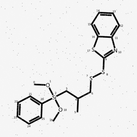 CO[Si](CC(C)CSSc1nc2ccccc2s1)(OC)c1ccccc1